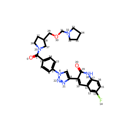 O=C(c1ccc(-n2cc(-c3cc4cc(F)ccc4[nH]c3=O)nn2)cc1)N1CCC(COCN2CCCC2)C1